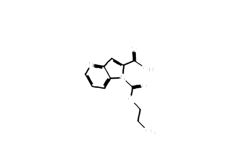 CCCOC(=O)n1c(C(=O)O)cc2ncccc21